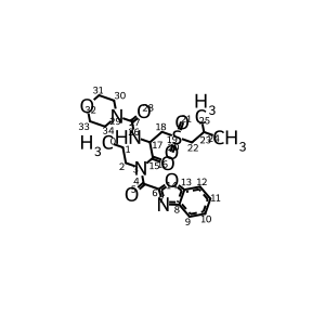 CCCN(C(=O)c1nc2ccccc2o1)C(=O)C(CS(=O)(=O)CC(C)C)NC(=O)N1CCOCC1